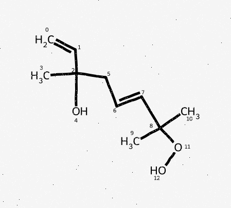 C=CC(C)(O)CC=CC(C)(C)OO